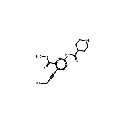 COC(=O)c1nc(NC(=O)C2CCNCC2)ccc1C#CCN